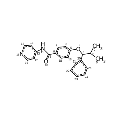 CC(C)C(Oc1ccc(C(=O)Nc2ccncc2)cc1)c1ccccc1